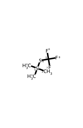 C[Si](C)(C)SC(F)(F)F